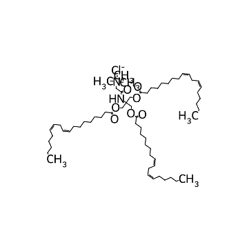 CCCCC/C=C\C/C=C\CCCCCCCC(=O)OCC(COC(=O)CCCCCCC/C=C\C/C=C\CCCCC)(COC(=O)CCCCCCC/C=C\C/C=C\CCCCC)NC(=O)C[N+](C)(C)C.[Cl-]